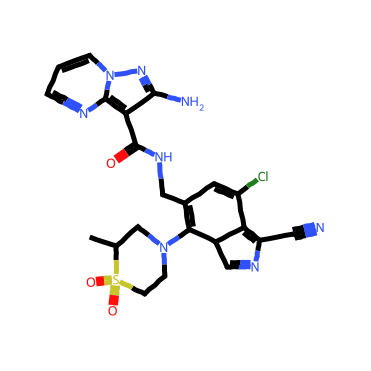 CC1CN(C2=C(CNC(=O)c3c(N)nn4cccnc34)C=C(Cl)C3=C(C#N)N=CC32)CCS1(=O)=O